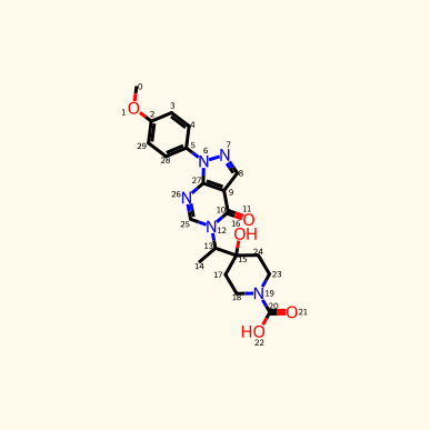 COc1ccc(-n2ncc3c(=O)n(C(C)C4(O)CCN(C(=O)O)CC4)cnc32)cc1